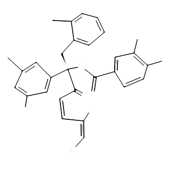 C=C(/C=C\C(Cl)=C/N)[C@@](Cc1ccccc1C)(NC(=O)c1ccc(F)c(C(F)(F)F)c1)c1cc(F)cc(C(F)(F)F)c1